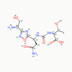 COC(C)[C@H](NC(=O)N[C@@H](CC(N)=O)c1nc([C@@H](N)CO)no1)C(=O)O